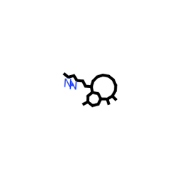 CC1=NN=C(CCC2CCCCCCCC(C)C(C)C3CCC(C)CC2C3)C1